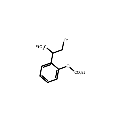 CCOC(=O)Oc1ccccc1C(CC(C)C)C(=O)OCC